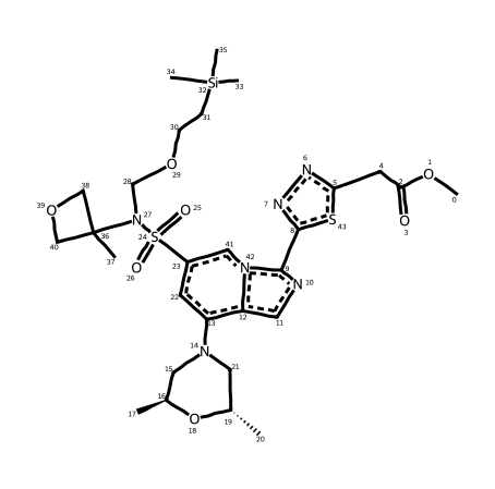 COC(=O)Cc1nnc(-c2ncc3c(N4C[C@H](C)O[C@@H](C)C4)cc(S(=O)(=O)N(COCC[Si](C)(C)C)C4(C)COC4)cn23)s1